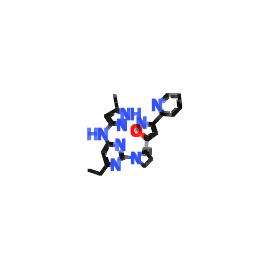 CCc1cc(Nc2cc(C)[nH]n2)nc(N2CC[C@H]2c2cc(-c3ccccn3)no2)n1